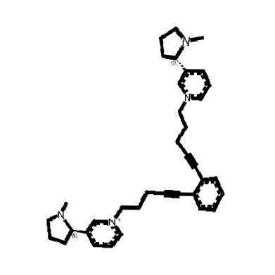 CN1CCC[C@@H]1c1ccc[n+](CCCC#Cc2ccccc2C#CCCC[n+]2cccc([C@@H]3CCCN3C)c2)c1